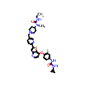 CCNC(=O)N(C)C1CCN(Cc2ccc(-c3cc4nccc(Oc5ccc(NC(=O)NC6CC6)cc5F)c4s3)nc2)CC1